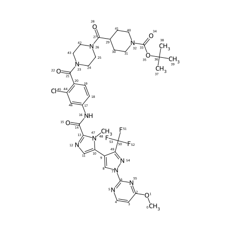 COc1ccnc(-n2cc(-c3cnc(C(=O)Nc4ccc(C(=O)N5CCN(C(=O)C6CCN(C(=O)OC(C)(C)C)CC6)CC5)c(Cl)c4)n3C)c(C(F)(F)F)n2)n1